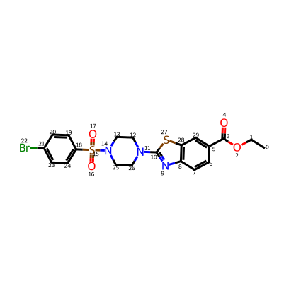 CCOC(=O)c1ccc2nc(N3CCN(S(=O)(=O)c4ccc(Br)cc4)CC3)sc2c1